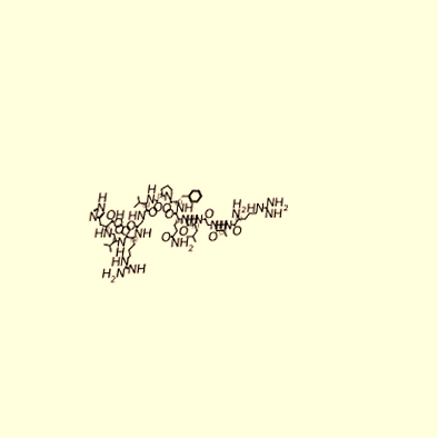 CC(C)C[C@H](NC(=O)CNC(=O)[C@H](C)NC(=O)[C@@H](N)CCCNC(=N)N)C(=O)N[C@@H](CCC(N)=O)C(=O)N[C@@H](Cc1ccccc1)C(=O)N1CCC[C@H]1C(=O)N[C@H](C(=O)NCC(=O)N[C@@H](CCCNC(=N)N)C(=O)N[C@H](C(=O)N[C@@H](Cc1c[nH]cn1)C(=O)O)C(C)C)C(C)C